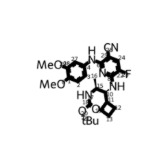 COc1ccc(Nc2nc(N[C@H](C3CCC3)[C@H](C)NC(=O)OC(C)(C)C)c(F)cc2C#N)cc1OC